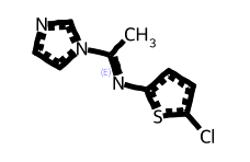 C/C(=N\c1ccc(Cl)s1)n1ccnc1